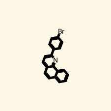 Brc1ccc(-c2ccc3ccc4ccccc4c3n2)cc1